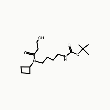 CC(C)(C)OC(=O)NCCCCN(C(=O)CCO)C1CCC1